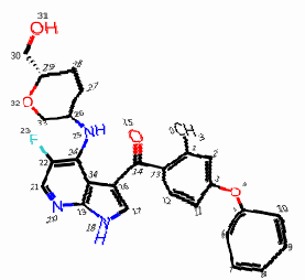 Cc1cc(Oc2ccccc2)ccc1C(=O)c1c[nH]c2ncc(F)c(N[C@@H]3CC[C@@H](CO)OC3)c12